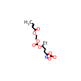 CC=CC(=O)OCCOC(=O)OC(CC)CCc1noc(=O)o1